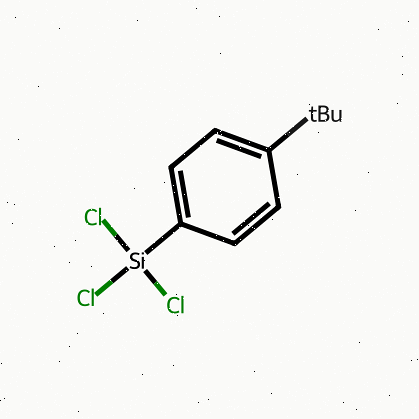 CC(C)(C)c1ccc([Si](Cl)(Cl)Cl)cc1